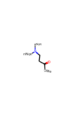 CCCCCCCCCN(CCCCCCCCC)CCC(=O)OC